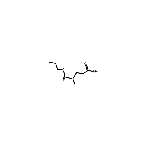 CCCOC(=O)N(C)CCC([NH])=O